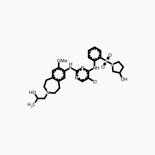 COc1cc2c(cc1Nc1ncc(Cl)c(Nc3ccccc3S(=O)(=O)N3CCC(O)C3)n1)CCN(CC(C)O)CC2